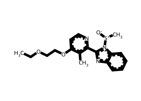 CCOCCOc1ccnc(-c2nc3ccccc3n2[S+](C)[O-])c1C